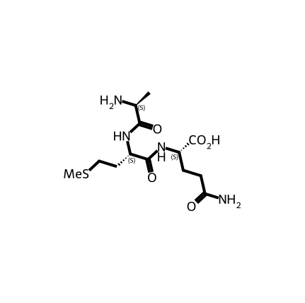 CSCC[C@H](NC(=O)[C@H](C)N)C(=O)N[C@@H](CCC(N)=O)C(=O)O